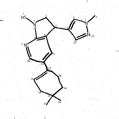 Cn1cc(C2CN(S)c3ncc(C4=CCC(C)(C)CC4)cc32)cn1